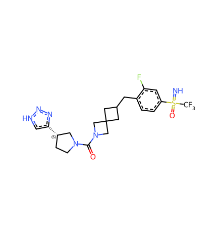 N=S(=O)(c1ccc(CC2CC3(C2)CN(C(=O)N2CC[C@H](c4c[nH]nn4)C2)C3)c(F)c1)C(F)(F)F